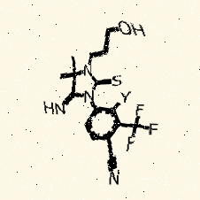 CC1(C)C(=N)N(c2ccc(C#N)c(C(F)(F)F)[c]2[Y])C(=S)N1CCCO